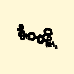 CS(=O)(=O)CC(=O)N1CCC(c2ccc(C(N)=O)c(C3=CCCCC3)c2)CC1